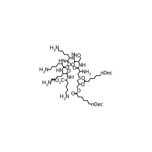 CCCCCCCCCCCCCCCC(=O)OCC(CSCC(N)C(=O)NC(CO)C(=O)NC(CCCCN)C(=O)NC(CCCCN)C(=O)NC(CCCCN)C(=O)NC(CCCCN)C(=O)O)OC(=O)CCCCCCCCCCCCCCC